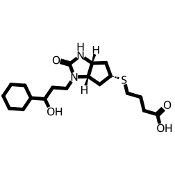 O=C(O)CCCS[C@H]1C[C@H]2NC(=O)N(CCC(O)C3CCCCC3)[C@H]2C1